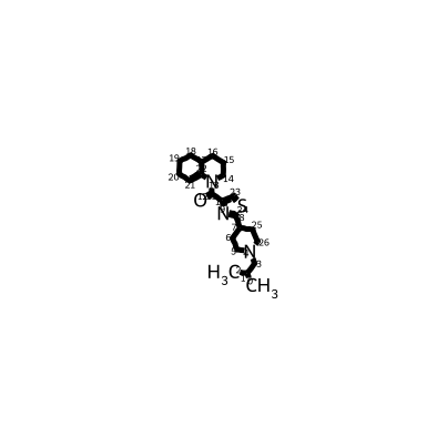 CC(C)CN1CCC(c2nc(C(=O)N3CCCC4CCCC=C43)cs2)CC1